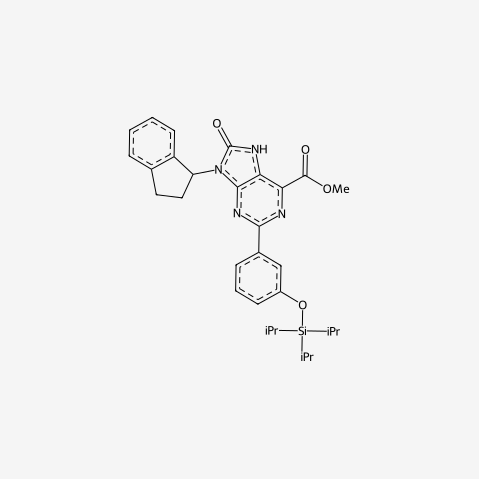 COC(=O)c1nc(-c2cccc(O[Si](C(C)C)(C(C)C)C(C)C)c2)nc2c1[nH]c(=O)n2C1CCc2ccccc21